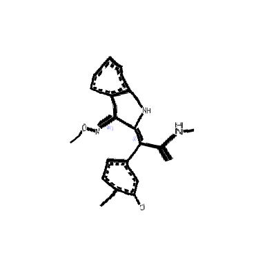 C=C(NC)/C(=C1\Nc2ccccc2\C1=N/OC)c1ccc(C)c(Cl)c1